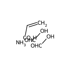 C=CC(=O)O.N.O=CO.O=CO